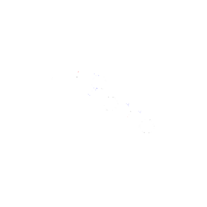 CCOC(=O)c1cnn2c(-c3cccc(NC(=O)Nc4ccc(Cl)cc4)c3)ccnc12